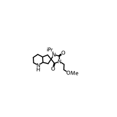 COCCN1C(=O)N(C(C)C)C2(CC3CCCNC3C2)C1=O